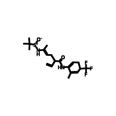 C=CC(C/C=C(\C)N[S+]([O-])C(C)(C)C)C(=O)NC1=CCC(C(F)(F)F)C=C1C